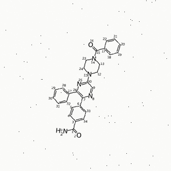 NC(=O)c1ccc(-c2ncc(N3CCN(C(=O)c4ccccc4)CC3)nc2-c2ccccc2)cc1